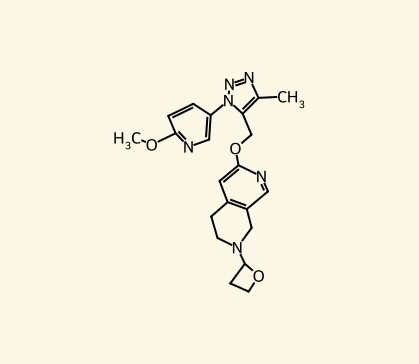 COc1ccc(-n2nnc(C)c2COc2cc3c(cn2)CN(C2CCO2)CC3)cn1